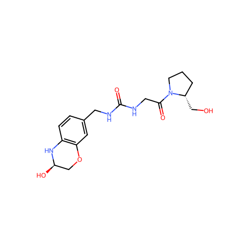 O=C(NCC(=O)N1CCC[C@@H]1CO)NCc1ccc2c(c1)OC[C@@H](O)N2